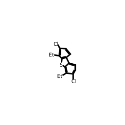 CCc1c(Cl)ccc2c1sc1c(CC)c(Cl)ccc12